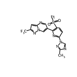 CCS(=O)(=O)c1ccc(-n2cnc(C)n2)nc1-c1cnc2cc(C(F)(F)F)nn2c1